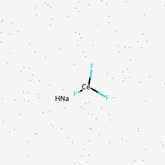 [F][Ce]([F])[F].[NaH]